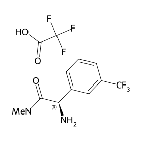 CNC(=O)[C@H](N)c1cccc(C(F)(F)F)c1.O=C(O)C(F)(F)F